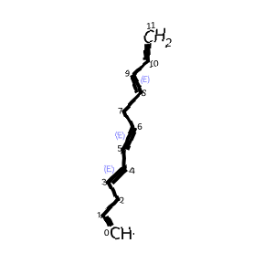 [CH]=CC/C=C/C=C/C/C=C/C=C